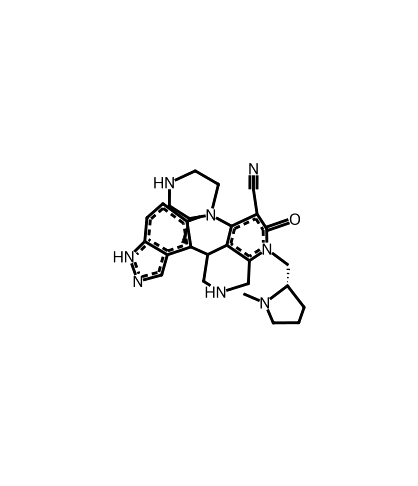 Cc1ccc2[nH]ncc2c1C1CNCc2c1c(N1CCNC[C@@H]1C)c(C#N)c(=O)n2C[C@@H]1CCCN1C